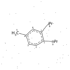 CCCc1ccc(C)cc1[C](C)C